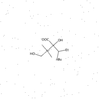 CCCCC(CC)C(O)(C(=O)[O-])[N+](C)(C)CO